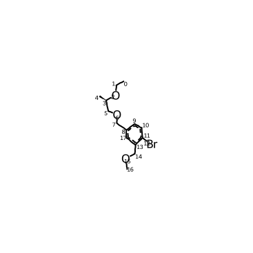 CCO[C@H](C)COCc1ccc(Br)c(COC)c1